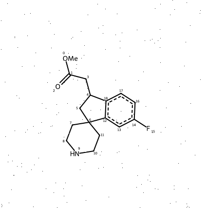 COC(=O)CC1CC2(CCNCC2)c2cc(F)ccc21